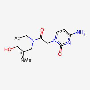 CN[C@@H](CO)CN(CC(C)=O)C(=O)Cn1ccc(N)nc1=O